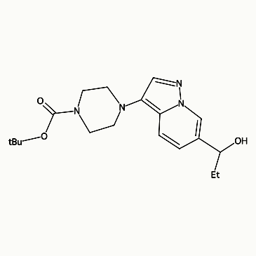 CCC(O)c1ccc2c(N3CCN(C(=O)OC(C)(C)C)CC3)cnn2c1